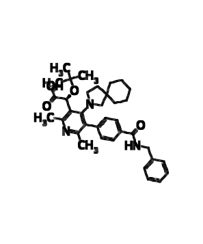 Cc1nc(C)c([C@H](OC(C)(C)C)C(=O)O)c(N2CCC3(CCCCC3)C2)c1-c1ccc(C(=O)NCc2ccccc2)cc1